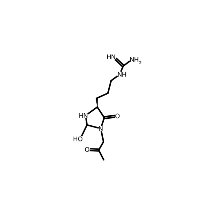 CC(=O)CN1C(=O)[C@H](CCCNC(=N)N)NC1O